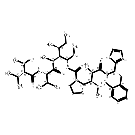 CC[C@H](C)[C@@H]([C@@H](CC(=O)N1CCC[C@H]1[C@H](OC)[C@@H](C)C(=O)N[C@@H](Cc1ccccc1N)c1nccs1)OC)N(C)C(=O)[C@@H](NC(=O)[C@H](C(C)C)N(C)C)C(C)C